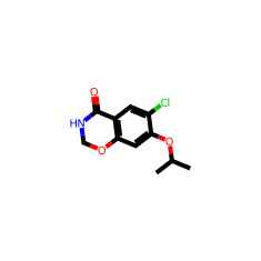 CC(C)Oc1cc2c(cc1Cl)C(=O)NCO2